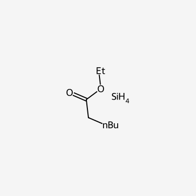 CCCCCC(=O)OCC.[SiH4]